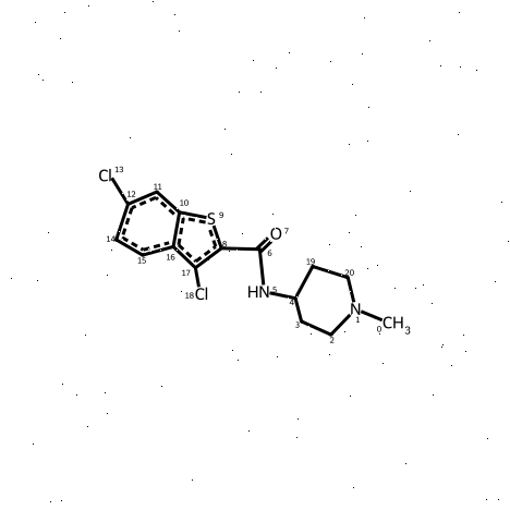 CN1CCC(NC(=O)c2sc3cc(Cl)ccc3c2Cl)CC1